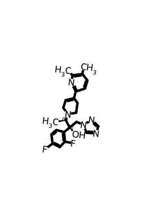 Cc1ccc(C2=CCN([C@H](C)[C@](O)(Cn3cncn3)c3ccc(F)cc3F)CC2)nc1C